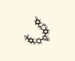 Cl.Cl.O=C(CCC1CCN(Cc2ccc(C(F)(F)F)cc2)CC1)c1ccc2c(c1)CN(Cc1ccc(F)cc1)CCO2